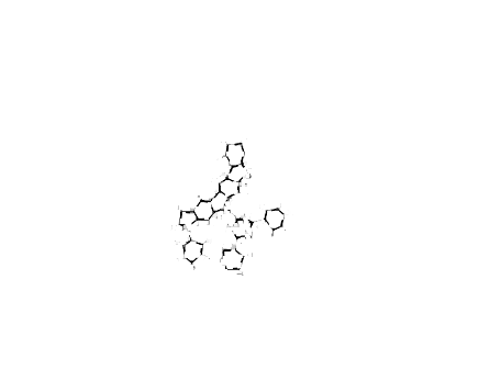 c1ccc(-c2nc(-c3ccccc3)nc(-n3c4cc5sc6ccccc6c5cc4c4cc5ccn(-c6ccccc6)c5cc43)n2)cc1